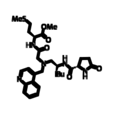 CC[C@H](C)[C@@H](CN(CC(=O)N[C@@H](CCSC)C(=O)OC)Cc1ccnc2ccccc12)NC(=O)[C@@H]1CCC(=O)N1